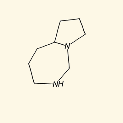 C1CNCN2CCCC2C1